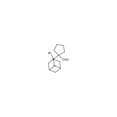 CC(C)N1CC2CC(C1)N2CC1(C=O)CCCC1